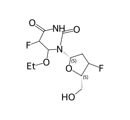 CCOC1C(F)C(=O)NC(=O)N1[C@@H]1CC(F)[C@H](CO)O1